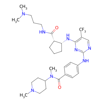 CN(C)CCCNC(=O)[C@H]1CCC[C@H]1Nc1nc(Nc2ccc(C(=O)N(C)C3CCN(C)CC3)cc2)ncc1C(F)(F)F